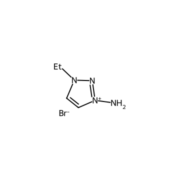 CCn1cc[n+](N)n1.[Br-]